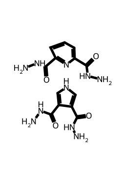 NNC(=O)c1c[nH]cc1C(=O)NN.NNC(=O)c1cccc(C(=O)NN)n1